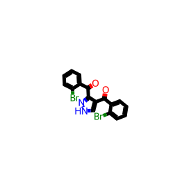 O=C(c1ccccc1Br)c1c[nH]nc1C(=O)c1ccccc1Br